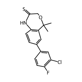 CC1(C)OCC(=S)Nc2ccc(-c3ccc(F)c(Cl)c3)cc21